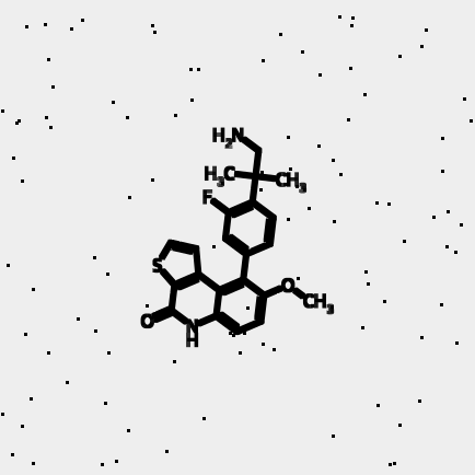 COc1ccc2[nH]c(=O)c3sccc3c2c1-c1ccc(C(C)(C)CN)c(F)c1